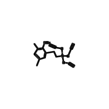 C#CO[Si](CCc1cc(C)cc(C)c1OC)(OC#C)OC#C